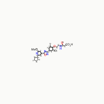 CCc1cc(-c2noc(-c3cc(OC)nc(C4CCCC4)c3)n2)cc(C)c1OCCNC(=O)CC(=O)O